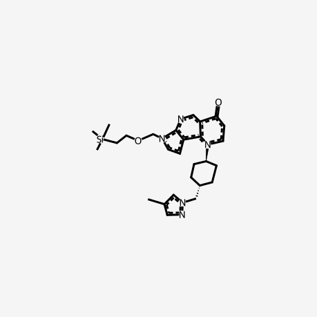 Cc1cnn(C[C@H]2CC[C@H](n3ccc(=O)c4cnc5c(ccn5COCC[Si](C)(C)C)c43)CC2)c1